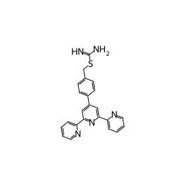 N=C(N)SCc1ccc(-c2cc(-c3ccccn3)nc(-c3ccccn3)c2)cc1